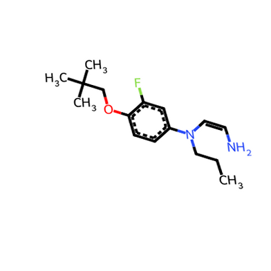 CCCN(/C=C\N)c1ccc(OCC(C)(C)C)c(F)c1